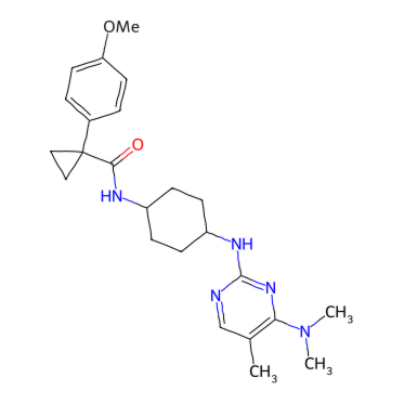 COc1ccc(C2(C(=O)NC3CCC(Nc4ncc(C)c(N(C)C)n4)CC3)CC2)cc1